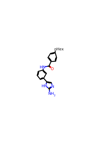 CCCCCCc1ccc(C(=O)Nc2cccc(-c3cnc(N)[nH]3)c2)cc1